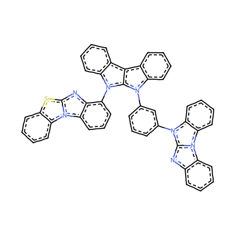 c1cc(-n2c3ccccc3c3c4ccccc4n(-c4cccc5c4nc4sc6ccccc6n45)c32)cc(-n2c3ccccc3n3c4ccccc4nc23)c1